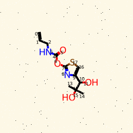 C=CCNC(=O)Oc1nc(C(O)C(C)(C)O)cs1